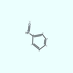 O=[PH]c1ccccc1